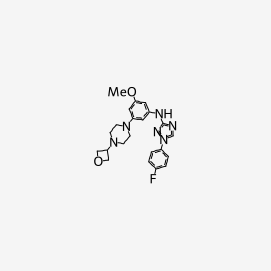 COc1cc(Nc2ncn(-c3ccc(F)cc3)n2)cc(N2CCN(C3COC3)CC2)c1